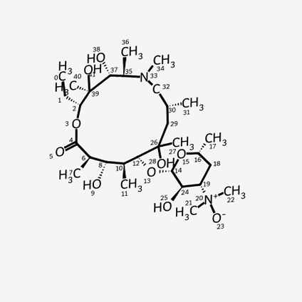 CC[C@H]1OC(=O)[C@H](C)[C@@H](O)[C@H](C)[C@@H](O[C@@H]2O[C@H](C)C[C@H]([N+](C)(C)[O-])[C@H]2O)C(C)(O)C[C@@H](C)CN(C)[C@H](C)[C@@H](O)[C@]1(C)O